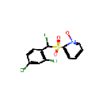 O=S(=O)(c1cccc[n+]1[O-])C(Cl)c1ccc(Cl)cc1Cl